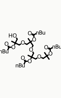 CCCCC(=O)OC(C)(C)COCC(C)(COCC(C)(COCC(C)(CO)OC(=O)CCCC)OC(=O)CCCC)OC(=O)CCCC